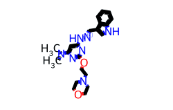 CN(C)c1cc(N/N=C/c2c[nH]c3ccccc23)nc(OCCN2CCOCC2)n1